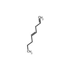 C=CC/C=C/CCC